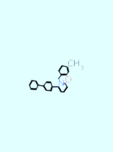 Cc1ccc(Cn2c(-c3ccc(-c4ccccc4)cc3)cccc2=O)cc1